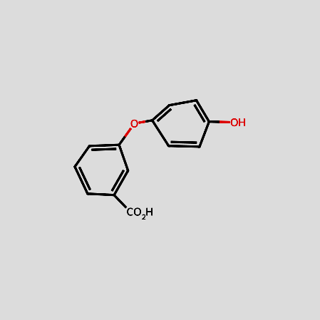 O=C(O)c1cccc(Oc2ccc(O)cc2)c1